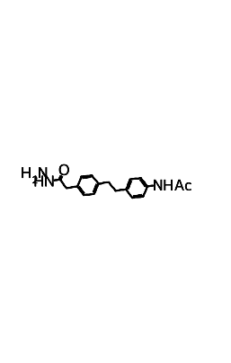 CC(=O)Nc1ccc(CCc2ccc(CC(=O)NN)cc2)cc1